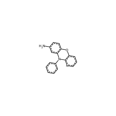 Nc1ccc2c(c1)N(c1ccccc1)c1ncccc1O2